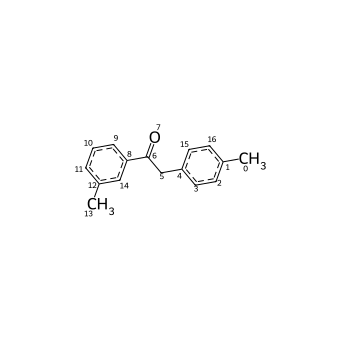 Cc1ccc(CC(=O)c2cccc(C)c2)cc1